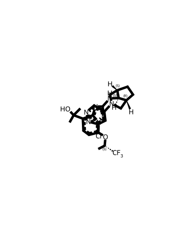 C[C@H](Oc1ccc(C(C)(C)O)c2nc(N[C@@H]3[C@@H]4CC[C@H]3CN(c3cnnc(Cl)c3)C4)nn12)C(F)(F)F